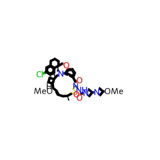 COC1CN(C2CN(C(=O)N[S@@]3(=O)=NC(=O)c4ccc5c(c4)N(C[C@@H]4CC[C@H]4[C@@H](OC)/C=C/C[C@H](C)C3)C[C@@]3(CCCc4cc(Cl)ccc43)CO5)C2)C1